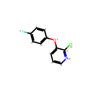 Fc1ccc(Oc2cccnc2Cl)cc1